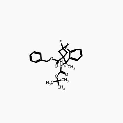 CC(C)(C)OC(=O)N[C@](C)(c1ccccc1F)C1(C(=O)OCc2ccccc2)CC(F)(F)C1